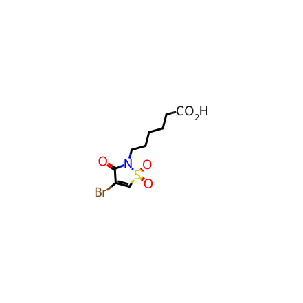 O=C(O)CCCCCN1C(=O)C(Br)=CS1(=O)=O